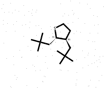 CC(C)(C)C[C@@H]1CCS[C@H]1CC(C)(C)C